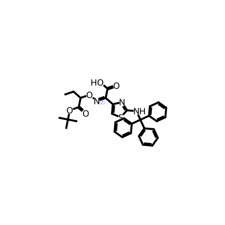 CCC(O/N=C(\C(=O)O)c1csc(NC(c2ccccc2)(c2ccccc2)c2ccccc2)n1)C(=O)OC(C)(C)C